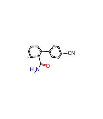 N#Cc1ccc(-c2ccc[c]c2C(N)=O)cc1